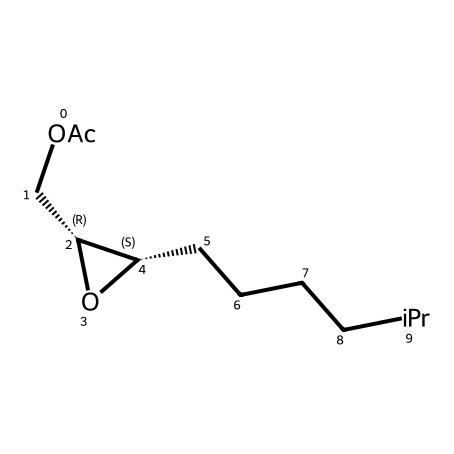 CC(=O)OC[C@H]1O[C@H]1CCCCC(C)C